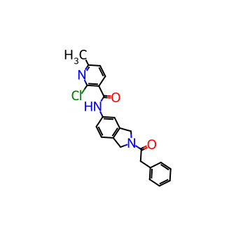 Cc1ccc(C(=O)Nc2ccc3c(c2)CN(C(=O)Cc2ccccc2)C3)c(Cl)n1